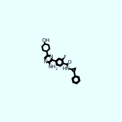 Nc1ncc(C2CCC(O)CC2)nc1-c1ccc(C(=O)NC2CC2c2ccccc2)c(F)c1